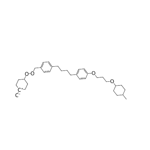 [CH2-][C+]1CCC(OOCc2ccc(CCCCc3ccc(OCCCOC4CCC(C)CC4)cc3)cc2)CC1